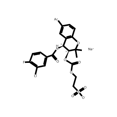 CC(=O)c1ccc2c(c1)[C@H](NC(=O)c1ccc(F)c(Cl)c1)[C@H](OC(=O)OCCS(=O)(=O)[O-])C(C)(C)O2.[Na+]